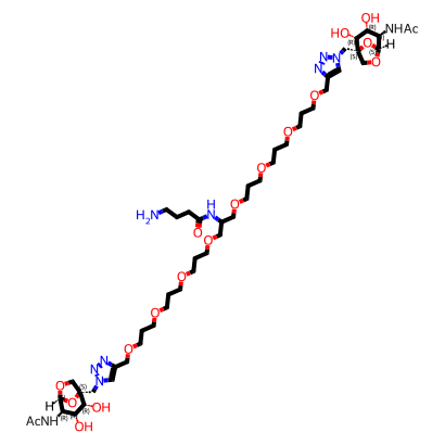 CC(=O)N[C@H]1[C@H]2OC[C@](Cn3cc(COCCCOCCCOCCCOCC(COCCCOCCCOCCCOCc4cn(C[C@@]56CO[C@@H](O5)[C@H](NC(C)=O)[C@@H](O)[C@H]6O)nn4)NC(=O)CCCN)nn3)(O2)[C@H](O)[C@@H]1O